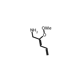 C=C/C=C(/CN)OOC